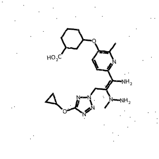 Cc1nc(/C(N)=C(\Cn2nnc(OC3CC3)n2)N(C)N)ccc1OC1CCCC(C(=O)O)C1